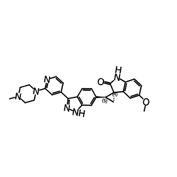 COc1ccc2c(c1)[C@]1(C[C@H]1c1ccc3c(-c4ccnc(N5CCN(C)CC5)c4)n[nH]c3c1)C(=O)N2